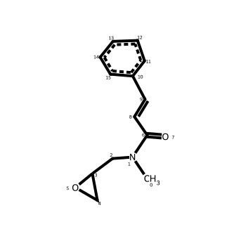 CN(CC1CO1)C(=O)C=Cc1ccccc1